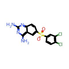 Nc1nc(N)c2cc(S(=O)(=O)c3ccc(Cl)c(Cl)c3)ccc2n1